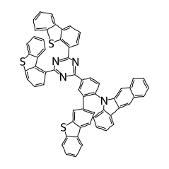 c1ccc2cc3c(cc2c1)c1ccccc1n3-c1ccc(-c2nc(-c3cccc4c3sc3ccccc34)nc(-c3cccc4sc5ccccc5c34)n2)cc1-c1ccc2c(c1)sc1ccccc12